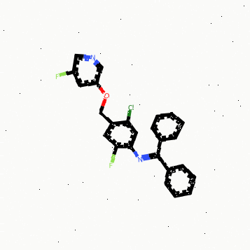 Fc1cncc(OCc2cc(F)c(N=C(c3ccccc3)c3ccccc3)cc2Cl)c1